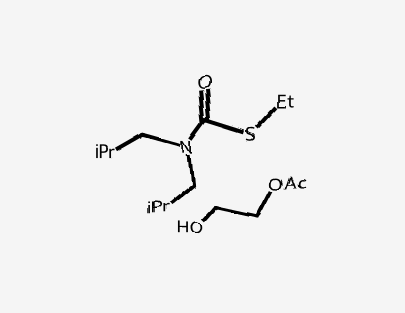 CC(=O)OCCO.CCSC(=O)N(CC(C)C)CC(C)C